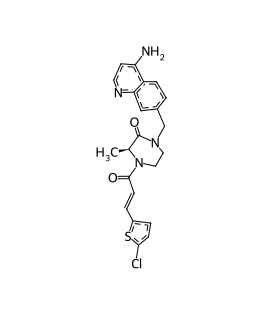 C[C@H]1C(=O)N(Cc2ccc3c(N)ccnc3c2)CCN1C(=O)C=Cc1ccc(Cl)s1